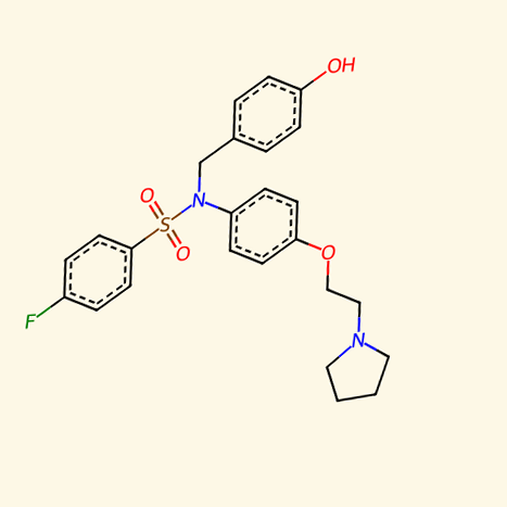 O=S(=O)(c1ccc(F)cc1)N(Cc1ccc(O)cc1)c1ccc(OCCN2CCCC2)cc1